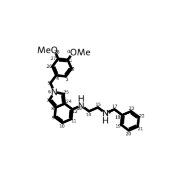 COc1ccc(Cn2cc3cccc(NCCNCc4ccccc4)c3c2)cc1OC